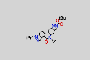 CC(C)Cn1ncc2c(C(=O)N(C3CC3)C3CCc4nn(C(=O)OC(C)(C)C)cc4C3)cccc21